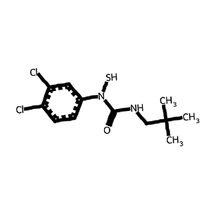 CC(C)(C)CNC(=O)N(S)c1ccc(Cl)c(Cl)c1